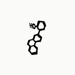 Oc1ccccc1-c1ccc2c(ccc3ccccc32)c1